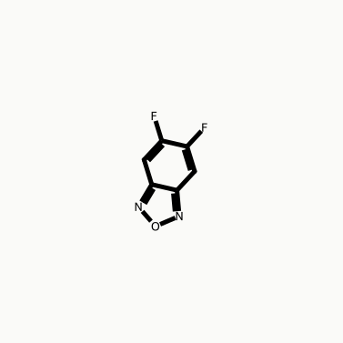 Fc1cc2nonc2cc1F